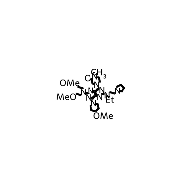 CCN(CCN1CCCC1)c1nc(N2CCN(C)C(=O)C2)c2nc(N(CCOC)CCOC)nc(N3CCC(OC)CC3)c2n1